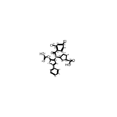 O=C(O)Oc1sc(-c2ccccc2)cc1N(C(=O)c1ccc(Cl)cc1Cl)C1CCC(C(=O)O)C1